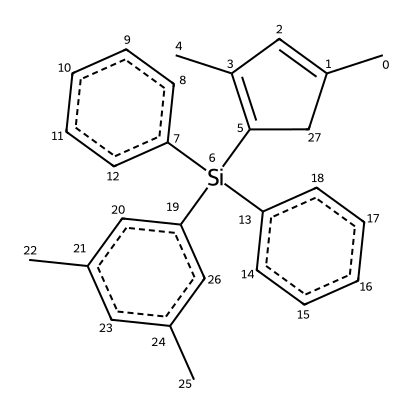 CC1=CC(C)=C([Si](c2ccccc2)(c2ccccc2)c2cc(C)cc(C)c2)C1